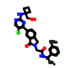 COc1cccc([C@@H](C)NC(=O)CN2Cc3ccc(-c4nc(NC5(CO)CCC5)ncc4Cl)cc3C2=O)c1